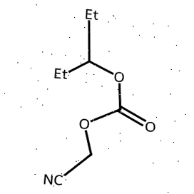 CCC(CC)OC(=O)OCC#N